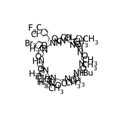 CC[C@H](C)[C@@H]1NC(=O)[C@H](C)N(C)C(=O)C[C@@H](C(=O)N(C)C)N(C)C(=O)[C@H]([C@@H](C)CC)N(C)C(=O)C2(CCCC2)NC(=O)[C@H](Cc2cccc(Br)c2)N(C)C(=O)[C@H](CCc2ccc(C(F)(F)F)c(Cl)c2)NC(=O)CN(C)C(=O)[C@H](Cc2ccc(C)cc2)N(C)C(=O)[C@@H]2CCN2C(=O)[C@H](C)N(C)C1=O